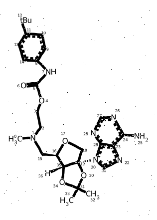 CN(CCOC(=O)Nc1ccc(C(C)(C)C)cc1)C[C@H]1OC[C@@]2(n3cnc4c(N)ncnc43)OC(C)(C)O[C@H]12